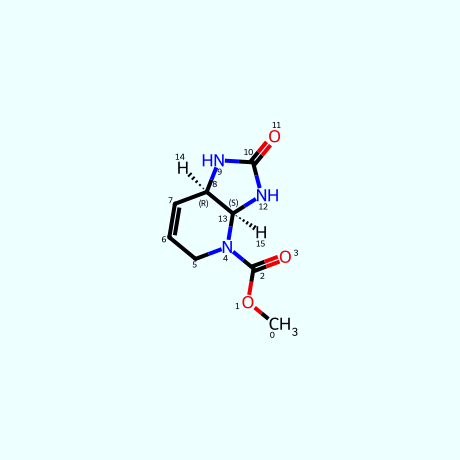 COC(=O)N1CC=C[C@H]2NC(=O)N[C@H]21